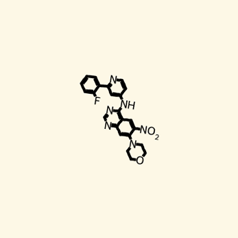 O=[N+]([O-])c1cc2c(Nc3ccnc(-c4ccccc4F)c3)ncnc2cc1N1CCOCC1